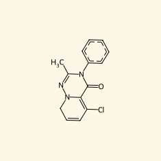 CC1=NN2CC=CC(Cl)=C2C(=O)N1c1ccccc1